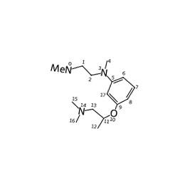 CNCCN(C)c1cccc(OC(C)CN(C)C)c1